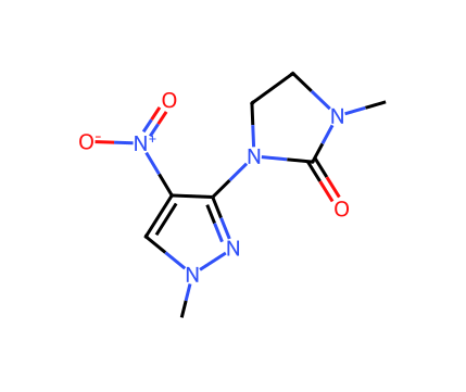 CN1CCN(c2nn(C)cc2[N+](=O)[O-])C1=O